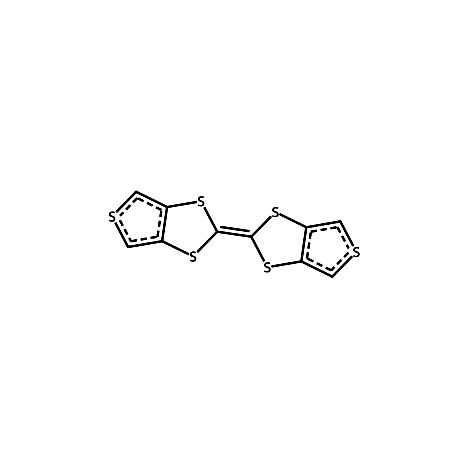 c1scc2c1SC(=C1Sc3cscc3S1)S2